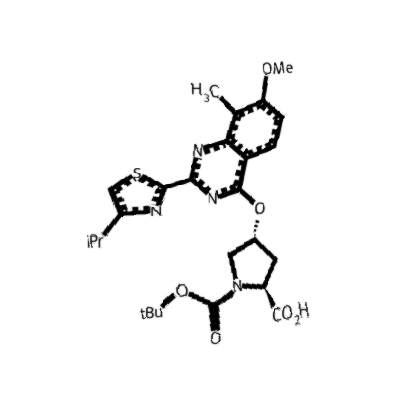 COc1ccc2c(O[C@@H]3C[C@@H](C(=O)O)N(C(=O)OC(C)(C)C)C3)nc(-c3nc(C(C)C)cs3)nc2c1C